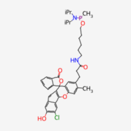 Cc1cc2c(cc1CCC(=O)NCCCCCCOP(C)N(C(C)C)C(C)C)C1(OC(=O)c3ccccc31)c1ccc3cc(O)c(Cl)cc3c1O2